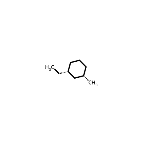 CC[C@@H]1CCC[C@H](C)C1